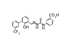 O=C(O)c1cccc(NC(=S)NN=Cc2cccc(-c3cccc(C(F)(F)F)c3)c2O)c1